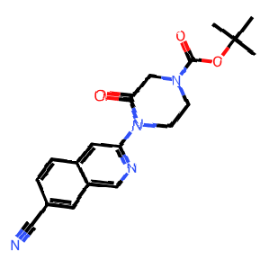 CC(C)(C)OC(=O)N1CCN(c2cc3ccc(C#N)cc3cn2)C(=O)C1